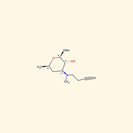 C#CCCN(C)[C@H]1C[C@@H](C)O[C@@H](OC)[C@@H]1O